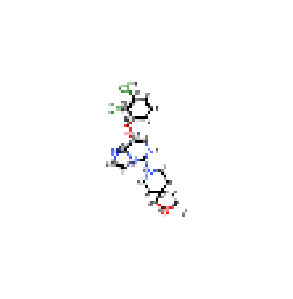 C[C@H]1CC2(CCN(c3ncc(Oc4cccc(Cl)c4Cl)c4nccn34)CC2)CO1